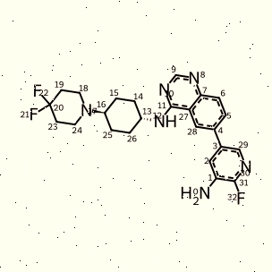 Nc1cc(-c2ccc3ncnc(N[C@H]4CC[C@H](N5CCC(F)(F)CC5)CC4)c3c2)cnc1F